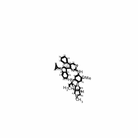 C=CC(=O)Nc1cc(Nc2ncc(-c3ccccc3)c(-c3cn(C4CC4)c4ccccc34)n2)c(OC)cc1N1C[C@H]2CN(C)C[C@H]2C1